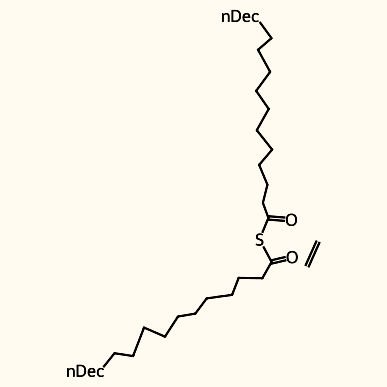 C=C.CCCCCCCCCCCCCCCCCCCCC(=O)SC(=O)CCCCCCCCCCCCCCCCCCCC